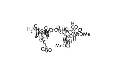 COc1cccc2c1C(=O)c1c(O)c3c(c(O)c1C2=O)C[C@@](O)(C(=O)CN(C)C1CCN(C(=O)OCc2ccc(NC(=O)[C@H](CCCNC(N)=O)NC(=O)[C@@H](NC(=O)CCCCCN4C(=O)C=CC4=O)C(C)C)cc2)CC1)C[C@@H]3O[C@H]1C[C@H]2[C@H](O[C@@H]3[C@@H](OC)OCCN32)[C@H](C)O1